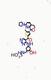 Cc1sc(C(=O)c2cncnc2N[C@H]2C[C@H](O)[C@@H]([CH]NS(=O)(=O)O)C2)cc1[C@H]1OCCc2ccc(N3CCCC3)nc21